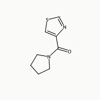 O=C(c1cs[c]n1)N1CCCC1